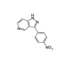 O=[N+]([O-])c1ccc(-c2n[nH]c3ccncc23)cc1